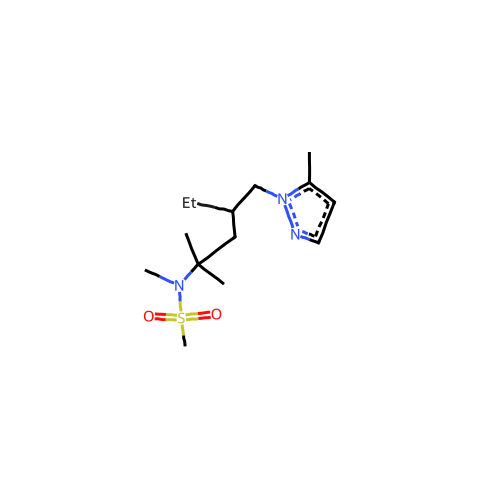 CCC(Cn1nccc1C)CC(C)(C)N(C)S(C)(=O)=O